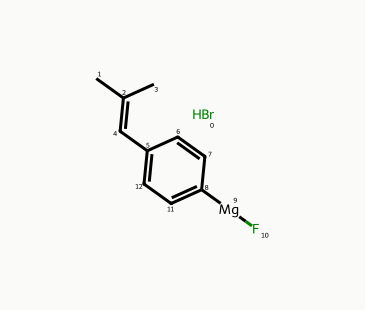 Br.CC(C)=Cc1cc[c]([Mg][F])cc1